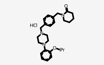 CC(C)Oc1ccccc1N1CCN(Cc2ccc(CN3CCCCC3=O)cc2)CC1.Cl